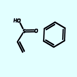 C=CS(=O)O.c1ccccc1